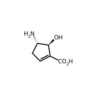 N[C@H]1CC=C(C(=O)O)[C@@H]1O